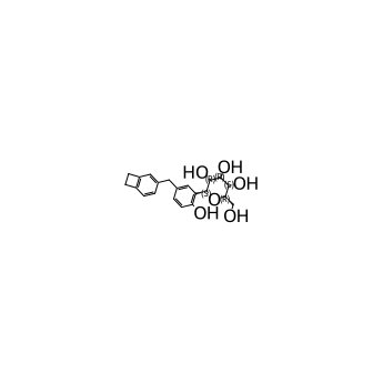 OC[C@H]1O[C@@H](c2cc(Cc3ccc4c(c3)CC4)ccc2O)[C@H](O)[C@@H](O)[C@@H]1O